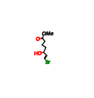 COC(=O)CCC[C@H](O)/C=C/Br